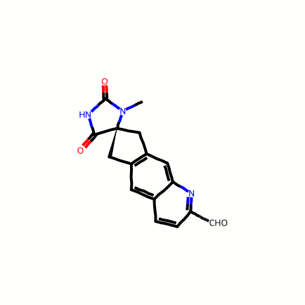 CN1C(=O)NC(=O)[C@]12Cc1cc3ccc(C=O)nc3cc1C2